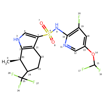 C[C@H]1c2[nH]cc(S(=O)(=O)Nc3ncc(OC(F)F)cc3F)c2CCC1C(F)(F)F